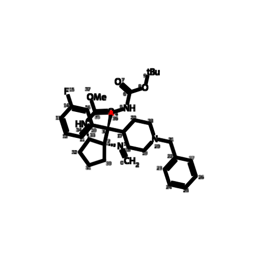 C=N[C@]1([C@](CNC(=O)OC(C)(C)C)(c2cccc(F)c2)C2CCN(Cc3ccccc3)CC2)CCC[C@@H]1NC(=O)OC